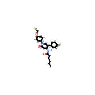 CCCCCC(=O)Nc1cc(=O)n(-c2ccc(OCF)cc2)cc1-c1ccc(F)cc1